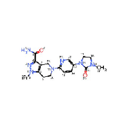 CC(C)n1nc(C(N)=O)c2c1CCN(c1ccc(N3CCN(C)C3=O)cn1)C2